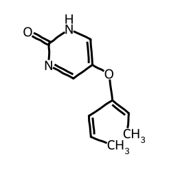 C/C=C\C(=C/C)Oc1cnc(=O)[nH]c1